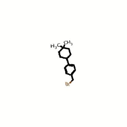 CC1(C)CCC(c2ccc(CBr)cc2)CC1